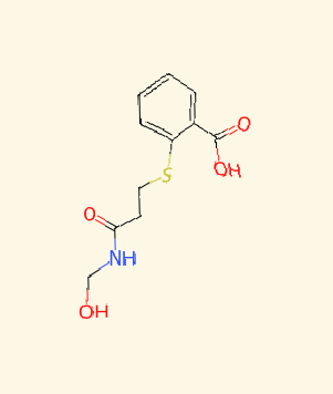 O=C(CCSc1ccccc1C(=O)O)NCO